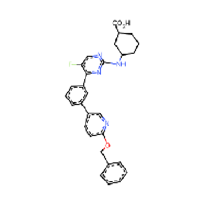 O=C(O)C1CCCC(Nc2ncc(F)c(-c3cccc(-c4ccc(OCc5ccccc5)nc4)c3)n2)C1